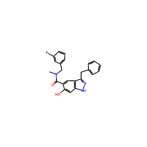 CN(Cc1cccc(F)c1)C(=O)c1cc2c(Cc3ccccc3)n[nH]c2cc1O